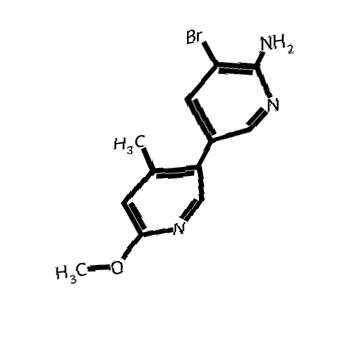 COc1cc(C)c(-c2cnc(N)c(Br)c2)cn1